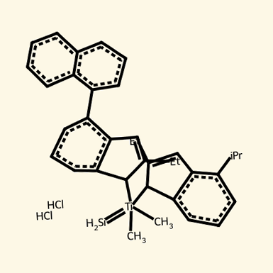 CCC1=Cc2c(-c3cccc4ccccc34)cccc2[CH]1[Ti]([CH3])([CH3])(=[SiH2])[CH]1C(CC)=Cc2c(C(C)C)cccc21.Cl.Cl